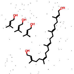 CC(=CCO)CCC(C)=CCC/C(C)=C/CC/C(C)=C/CC/C(C)=C/CO.CC(C)=CCO.CC(C)=CCO.CC(C)=CCO